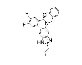 CCCc1nc2cc(N(Cc3ccccc3)C(=O)c3ccc(F)c(F)c3)ccc2[nH]1